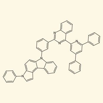 c1ccc(-c2cc(-c3ccccc3)nc(-c3nc(-c4cccc(-n5c6ccccc6c6c7ccn(-c8ccccc8)c7ccc65)c4)nc4ccccc34)c2)cc1